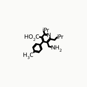 Cc1ccc(-c2c(CN)c(CC(C)C)nc(C(C)C)c2C(=O)O)cc1